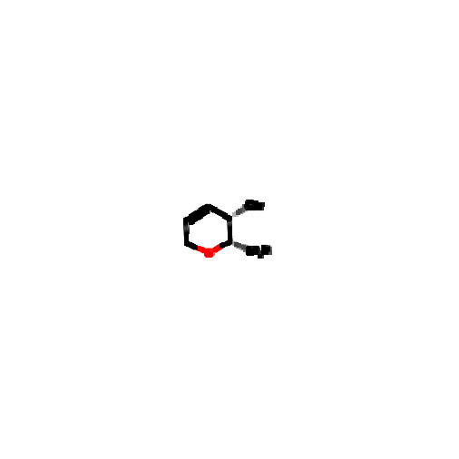 CCOC(=O)[C@@H]1OCC=C[C@@H]1OC(C)=O